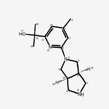 Cc1cc(N2C[C@H]3CNC[C@H]3C2)nc(C(C)(C)O)c1